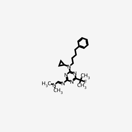 CN(C)C=Nc1nc(N(CCCCc2ccccc2)C2CC2)nc(C(C)(C)F)n1